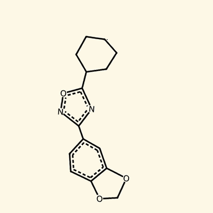 [CH]1CCC(c2nc(-c3ccc4c(c3)OCO4)no2)CC1